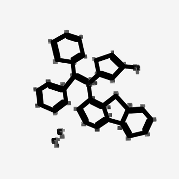 CCC1=CC[C]([Zr+2](=[C](c2ccccc2)c2ccccc2)[c]2cccc3c2Cc2ccccc2-3)=C1.[Cl-].[Cl-]